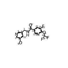 COc1cncc(CNC(=O)c2cnc(OC(F)F)c(F)c2)c1